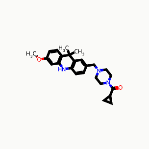 COc1ccc2c(c1)Nc1ccc(CN3CCN(C(=O)C4CC4)CC3)cc1C2(C)C